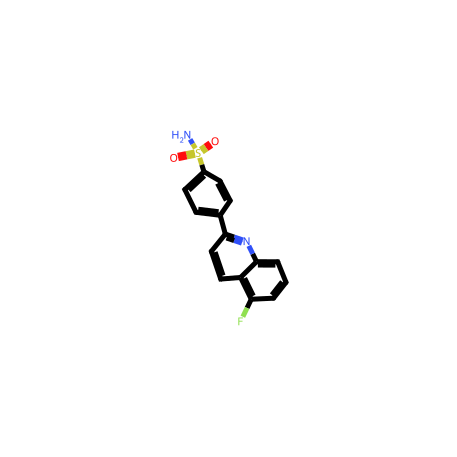 NS(=O)(=O)c1ccc(-c2ccc3c(F)cccc3n2)cc1